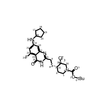 CC(C)(C)OC(=O)N1CC[C@H](SCc2nc3cc(NC4CCCC4)cc(F)c3c(=O)[nH]2)[C@@H](C(F)(F)F)C1